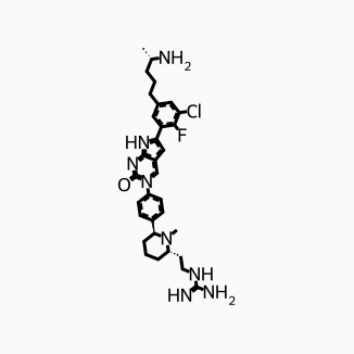 C[C@H](N)CCCc1cc(Cl)c(F)c(-c2cc3cn(-c4ccc([C@@H]5CCC[C@@H](CCNC(=N)N)N5C)cc4)c(=O)nc3[nH]2)c1